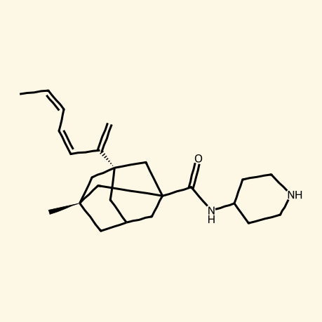 C=C(/C=C\C=C/C)[C@]12CC3CC(C(=O)NC4CCNCC4)(C[C@](C)(C3)C1)C2